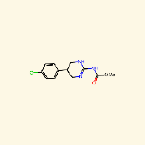 COC(=O)NC1=NCC(c2ccc(Cl)cc2)CN1